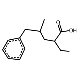 CCC(CC(C)Cc1ccccc1)C(=O)O